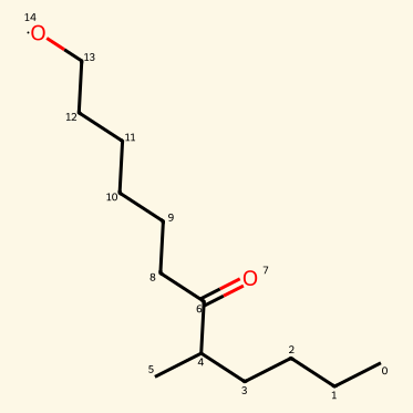 CCCCC(C)C(=O)CCCCCC[O]